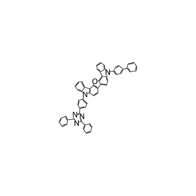 c1ccc(-c2ccc(-n3c4ccccc4c4c5oc6c(ccc7c6c6ccccc6n7-c6ccc(-c7nc(-c8ccccc8)nc(-c8ccccc8)n7)cc6)c5ccc43)cc2)cc1